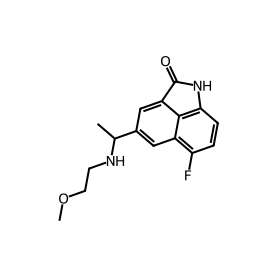 COCCNC(C)c1cc2c3c(ccc(F)c3c1)NC2=O